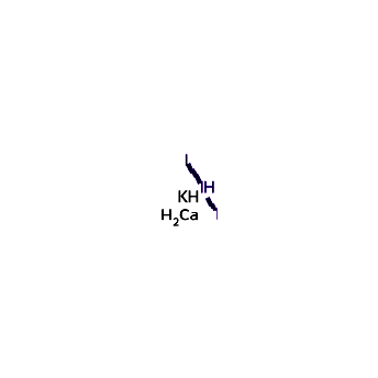 I[IH]I.[CaH2].[KH]